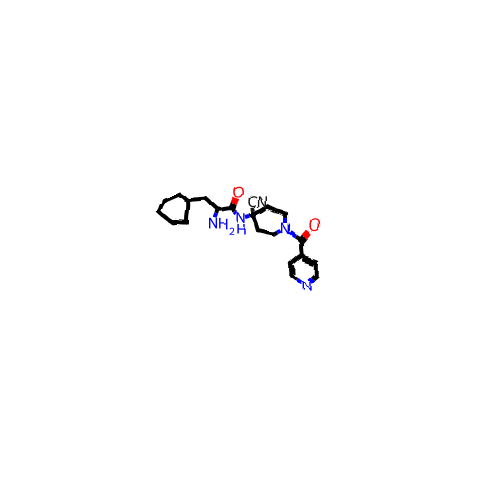 N#CC1(NC(=O)C(N)CC2CCCCC2)CCN(C(=O)c2ccncc2)CC1